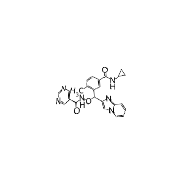 Cc1ccc(C(=O)NC2CC2)cc1C(ONC(=O)c1cncnc1)c1cn2ccccc2n1